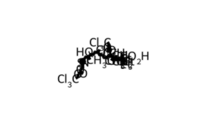 CC[Si](CC)(CC)O[C@@H](CC(=O)O)C(C)(C)C(=O)[C@@H](C)[C@@H](OC(=O)OCC(Cl)(Cl)Cl)[C@@H](C)CCC/C(C)=C\C[C@H](O)/C(C)=C/c1csc(COC(=O)OCC(Cl)(Cl)Cl)n1